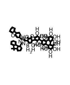 Bc1c(-c2nc(-c3ccc4c(c3)oc3ccccc34)nc(-c3cccc4c3-c3ccccc3C4(C)C)n2)c(O)c2oc3c(O)c(O)c(-c4c(O)c(O)c5c6c(O)c(O)c(O)c(O)c6c6c(O)c(O)c(O)c(O)c6c5c4O)c(O)c3c2c1O